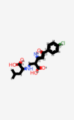 CC(C)CC(NCC(C(=O)O)c1cc(-c2ccc(Cl)cc2)on1)C(=O)O